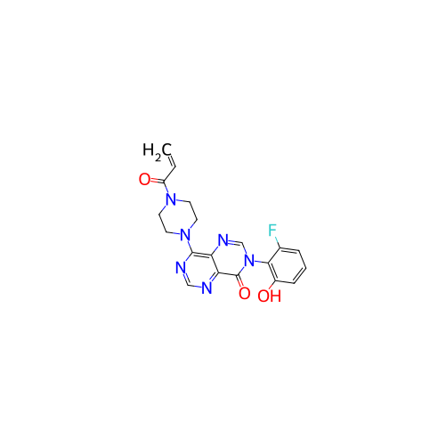 C=CC(=O)N1CCN(c2ncnc3c(=O)n(-c4c(O)cccc4F)cnc23)CC1